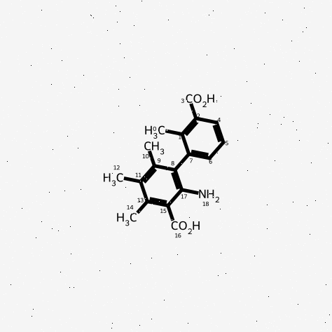 Cc1c(C(=O)O)cccc1-c1c(C)c(C)c(C)c(C(=O)O)c1N